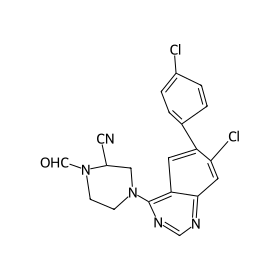 N#CC1CN(c2ncnc3cc(Cl)c(-c4ccc(Cl)cc4)cc23)CCN1C=O